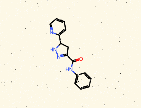 O=C(Nc1ccccc1)C1=NNC(c2ccccn2)C1